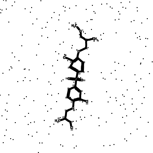 COCC(C)COc1ccc(S(=O)(=O)c2ccc(OCC(C)CCl)c(Cl)c2)cc1Cl